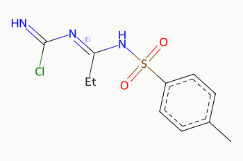 CC/C(=N\C(=N)Cl)NS(=O)(=O)c1ccc(C)cc1